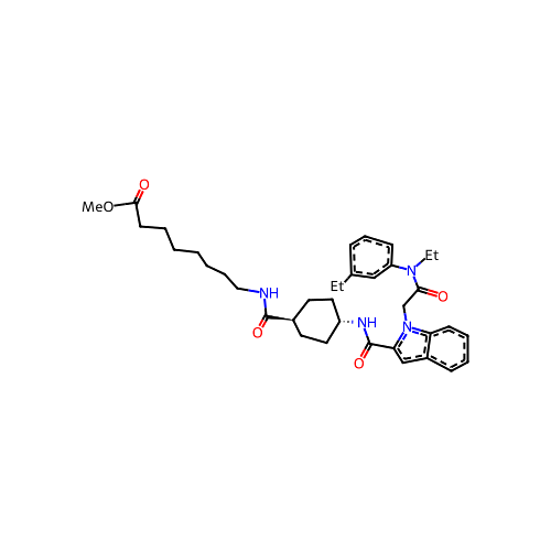 CCc1cccc(N(CC)C(=O)Cn2c(C(=O)N[C@H]3CC[C@H](C(=O)NCCCCCCCC(=O)OC)CC3)cc3ccccc32)c1